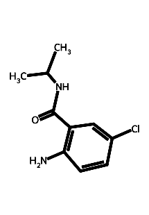 CC(C)NC(=O)c1cc(Cl)ccc1N